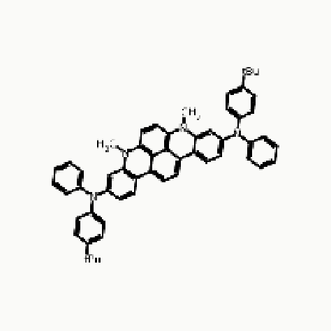 CN1c2cc(N(c3ccccc3)c3ccc(C(C)(C)C)cc3)ccc2-c2ccc3c4c(ccc1c24)N(C)c1cc(N(c2ccccc2)c2ccc(C(C)(C)C)cc2)ccc1-3